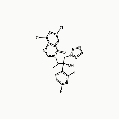 CC(n1cnc2c(Cl)cc(Cl)cc2c1=O)C(O)(Cn1cncn1)c1ccc(F)cc1F